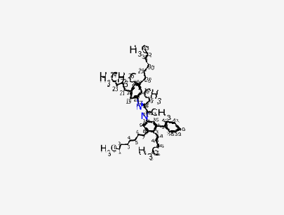 CCCCCCCCc1cc(N=C(C)C(CC)=Nc2cc(CCCC)c(C)c(CCCCCC)c2)cc(-c2ccccc2)c1CCCC